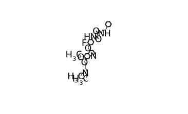 CCN(CC)CCCOc1cc2nccc(Oc3ccc(NC(=O)C(=O)NCCc4ccccc4)cc3F)c2cc1OC